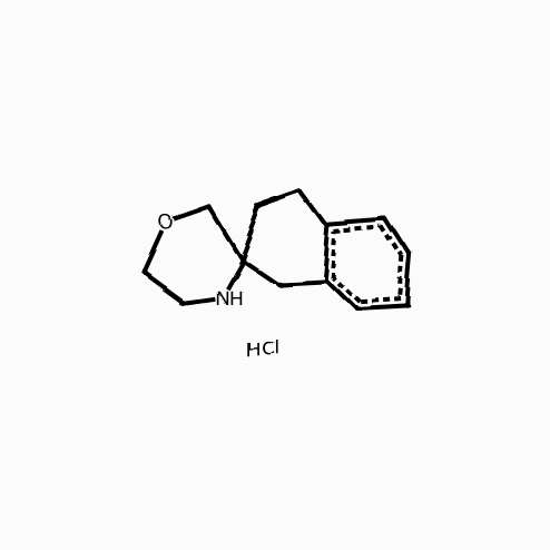 Cl.c1ccc2c(c1)CCC1(COCCN1)C2